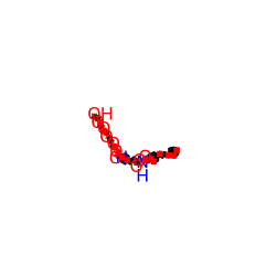 O=C(Cc1ccc(CCCCc2ccccc2)cc1)NOC(=O)CCC1CCN(C(=O)COCCOCCOCCOCCOCCO)CC1